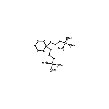 CO[Si](CCCC1(CCC[Si](OC)(OC)OC)CCCCC1)(OC)OC